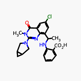 CC(Nc1ccccc1C(=O)O)c1cc(Cl)cc2c(=O)n(C)c(N3CC4CC4C3)nc12